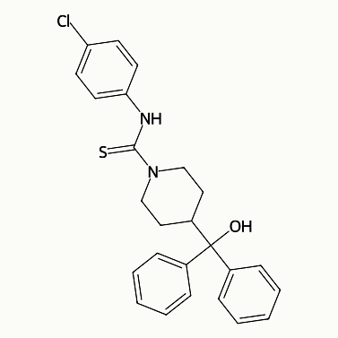 OC(c1ccccc1)(c1ccccc1)C1CCN(C(=S)Nc2ccc(Cl)cc2)CC1